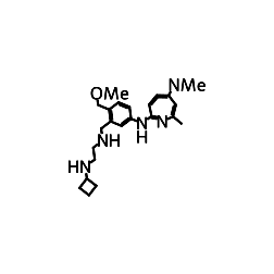 CNC1=C=CC(Nc2ccc(COC)c(CNCCNC3CCC3)c2)=NC(C)=C1